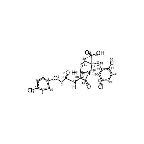 O=C(COc1ccc(Cl)cc1)N[C@@H]1C(=O)N2CC(Sc3cc(Cl)ccc3Cl)(C(=O)O)CS[C@H]12